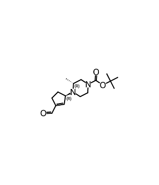 C[C@@H]1CN(C(=O)OC(C)(C)C)CCN1[C@H]1C=C(C=O)CC1